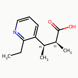 CCc1ncccc1[C@H](C)[C@H](C)C(=O)O